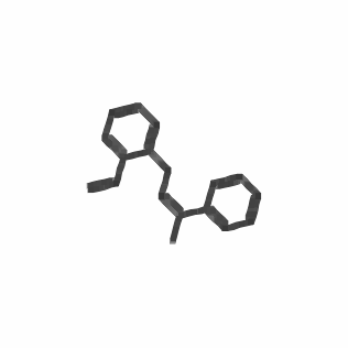 C=Cc1ccccc1CC=C(C)c1ccccc1